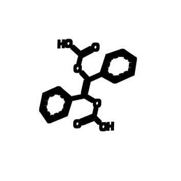 O=C(O)O/C(=C(/OC(=O)O)c1ccccc1)c1ccccc1